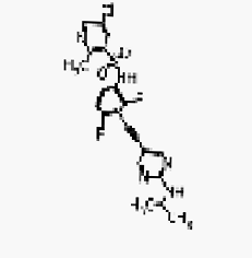 Cc1ncc(Cl)cc1S(=O)(=O)Nc1ccc(F)c(C#Cc2cnc(NC(C)C)nc2)c1F